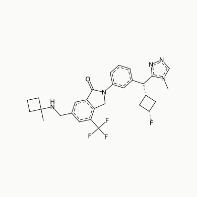 Cn1cnnc1C(c1cccc(N2Cc3c(cc(CNC4(C)CCC4)cc3C(F)(F)F)C2=O)c1)[C@H]1C[C@@H](F)C1